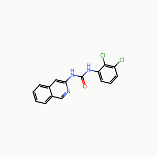 O=C(Nc1cc2ccccc2cn1)Nc1cccc(Cl)c1Cl